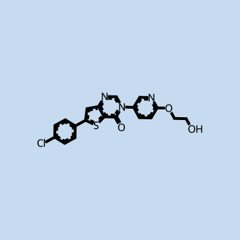 O=c1c2sc(-c3ccc(Cl)cc3)cc2ncn1-c1ccc(OCCO)nc1